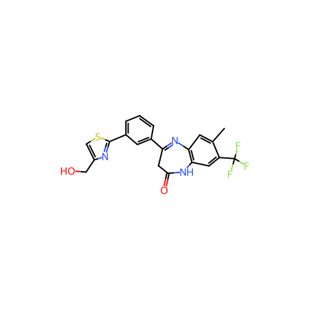 Cc1cc2c(cc1C(F)(F)F)NC(=O)CC(c1cccc(-c3nc(CO)cs3)c1)=N2